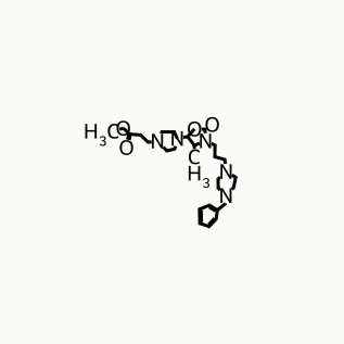 COC(=O)CCN1CCN(C2OC(=O)N(CCCN3CCN(Cc4ccccc4)CC3)C2C)CC1